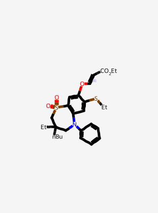 CCCCC1(CC)CN(c2ccccc2)c2cc(SCC)c(O/C=C/C(=O)OCC)cc2S(=O)(=O)C1